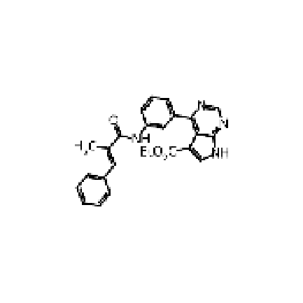 CCOC(=O)c1c[nH]c2ncnc(-c3cccc(NC(=O)C(C)=Cc4ccccc4)c3)c12